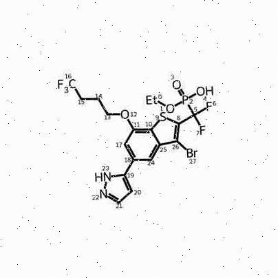 CCOP(=O)(O)C(F)(F)c1sc2c(OCCCC(F)(F)F)cc(-c3ccn[nH]3)cc2c1Br